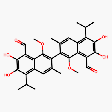 COc1c(-c2c(C)cc3c(C(C)C)c(O)c(O)c(C=O)c3c2OC)c(C)cc2c(C(C)C)c(O)c(O)c(C=O)c12